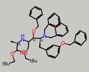 C[C@@H](NC(CO)[C@@H](OCc1ccccc1)[C@H](Cc1cccc(OCc2ccccc2)c1)N(Cc1ccccc1)Cc1ccccc1)C(OCC(C)(C)C)OCC(C)(C)C